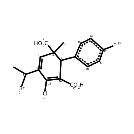 CC(Br)C1=CC(C)(C(=O)O)C(c2ccc(F)cc2)C(C(=O)O)=C1Cl